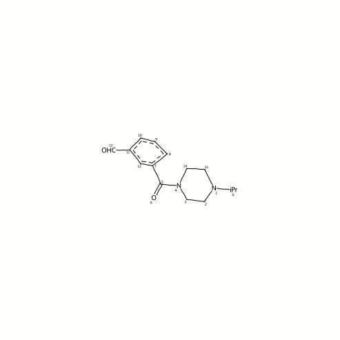 CC(C)N1CCN(C(=O)c2cccc(C=O)c2)CC1